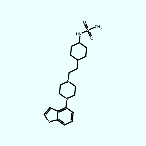 CS(=O)(=O)NC1CCC(CCN2CCN(c3cccc4sccc34)CC2)CC1